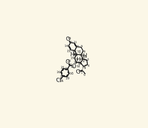 CC(=O)[C@H]1CC[C@H]2[C@@H]3CCC4=CC(=O)C=C[C@]4(C)[C@H]3CC(OC(=O)c3ccc(Cl)cc3)[C@]12C